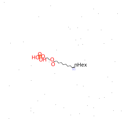 CCCCCC/C=C\CCCCCCCC(=O)OCCCOP(=O)(O)O